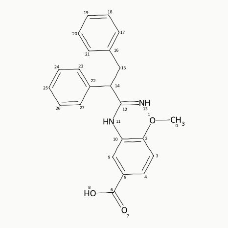 COc1ccc(C(=O)O)cc1NC(=N)C(Cc1ccccc1)c1ccccc1